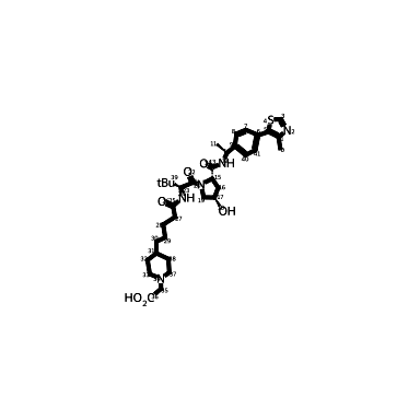 Cc1ncsc1-c1ccc([C@H](C)NC(=O)[C@@H]2C[C@@H](O)CN2C(=O)[C@@H](NC(=O)CCCCC2CCN(CC(=O)O)CC2)C(C)(C)C)cc1